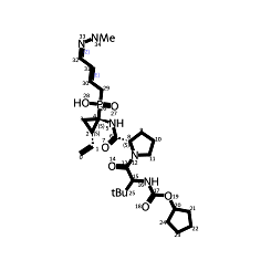 C=C[C@@H]1C[C@]1(NC(=O)[C@@H]1CCCN1C(=O)C(NC(=O)OC1CCCC1)C(C)(C)C)P(=O)(O)C/C=C/C=N\NC